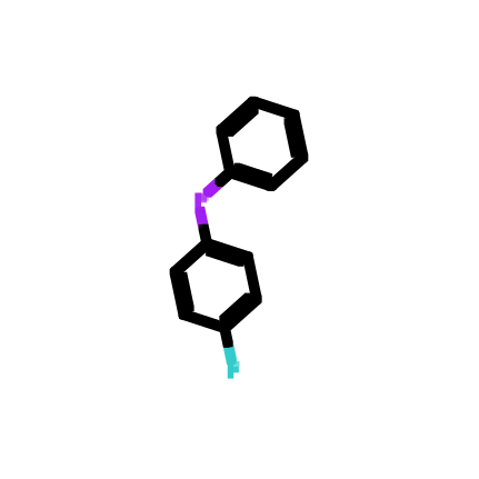 Fc1ccc([I+]c2ccccc2)cc1